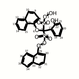 O=S(=O)(OO)C(Oc1cccc2ccccc12)(c1ccccc1O)S(=O)(=O)OOc1cccc2ccccc12